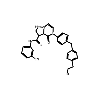 N#Cc1cccc(NC(=O)C2CNN3C=CN(c4ccc(Cc5ccc(CCO)cc5)cc4)C(=O)C23)c1